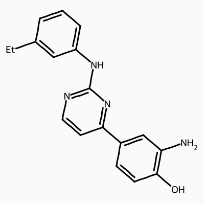 CCc1cccc(Nc2nccc(-c3ccc(O)c(N)c3)n2)c1